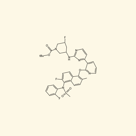 Cc1ccc2c(N(c3ccccc3F)S(C)(=O)=O)c(F)ccc2c1Oc1ncccc1-c1ccnc(NC2CC(F)CN(C(=O)OC(C)(C)C)C2)n1